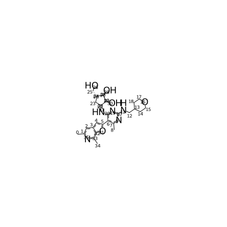 Cc1cc2cc(-c3c(C)nc(NCC4CCOCC4)nc3N[C@@H]3C[C@H](CO)[C@@H](O)[C@H]3O)oc2c(C)n1